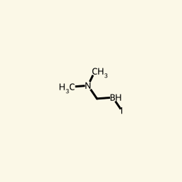 CN(C)CBI